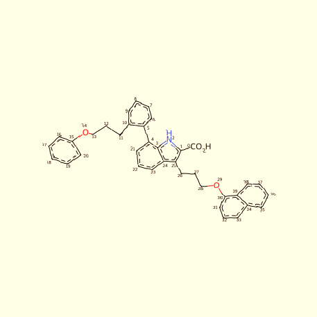 O=C(O)c1[nH]c2c(-c3ccccc3CCCOc3ccccc3)cccc2c1CCCOc1cccc2ccccc12